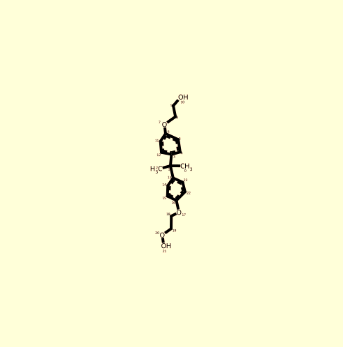 CC(C)(c1ccc(OCCO)cc1)c1ccc(OCCOO)cc1